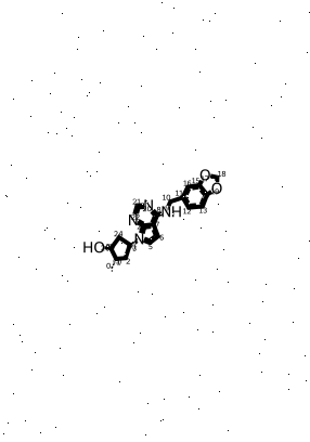 [CH2][C@H]1C[C@@H](n2ccc3c(NCc4ccc5c(c4)OCO5)ncnc32)C[C@@H]1O